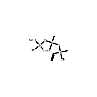 C=C[Si](C)(O)O[Si](C)(C)O[Si](O)(OC)OC